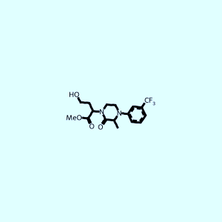 COC(=O)C(CCO)N1CCN(c2cccc(C(F)(F)F)c2)C(C)C1=O